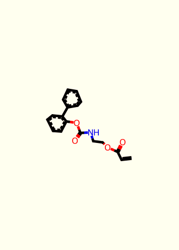 C=CC(=O)OCCNC(=O)Oc1ccccc1-c1ccccc1